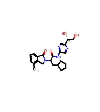 O=C(Nc1cnc([C@H](O)CO)cn1)C(CC1CCCC1)N1Cc2c(cccc2C(F)(F)F)C1=O